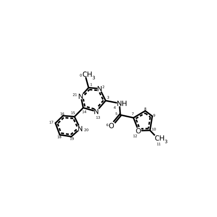 Cc1nc(NC(=O)c2ccc(C)o2)nc(-c2ccccn2)n1